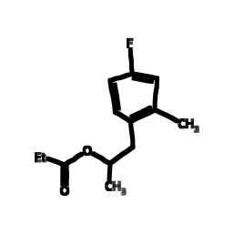 CCC(=O)OC(C)Cc1ccc(F)cc1C